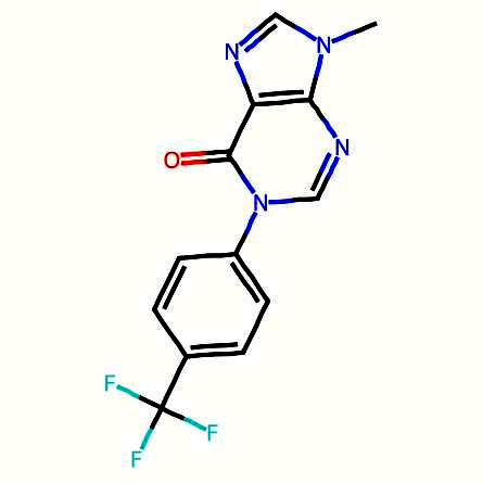 Cn1cnc2c(=O)n(-c3ccc(C(F)(F)F)cc3)cnc21